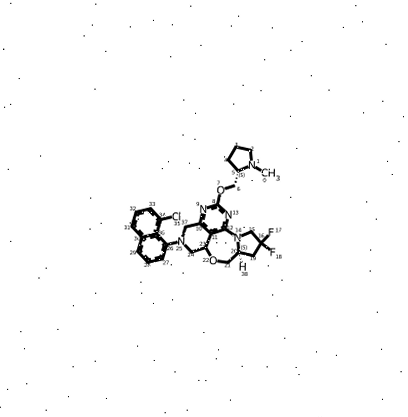 CN1CCC[C@H]1COc1nc2c3c(n1)N1CC(F)(F)C[C@H]1COC3CN(c1cccc3cccc(Cl)c13)C2